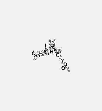 C=CC(=O)OCCCCOC(=O)NCCC1C2CCC1C(CNC(=O)OCCOC(C)=O)C2